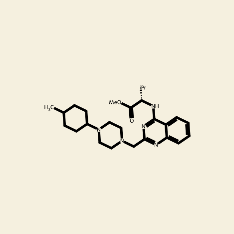 COC(=O)[C@@H](Nc1nc(CN2CCN(C3CCC(C)CC3)CC2)nc2ccccc12)C(C)C